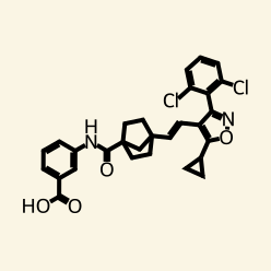 O=C(O)c1cccc(NC(=O)C23CCC(C=Cc4c(-c5c(Cl)cccc5Cl)noc4C4CC4)(CC2)C3)c1